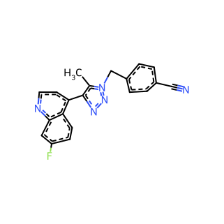 Cc1c(-c2ccnc3cc(F)ccc23)nnn1Cc1ccc(C#N)cc1